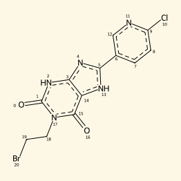 O=c1[nH]c2nc(-c3ccc(Cl)nc3)[nH]c2c(=O)n1CCBr